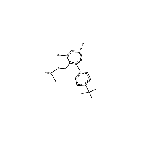 C[SiH](C)OCc1c(Br)cc(F)cc1-c1ccc(C(C)(C)C)cc1